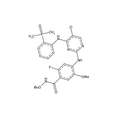 COc1cc(C(=O)NOCC(C)C)c(F)cc1Nc1ncc(Cl)c(Nc2ccccc2P(C)(C)=O)n1